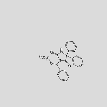 CCOC(=O)OC(c1ccccc1)N1C(=O)NC(c2ccccc2)(c2ccccc2)C1=O